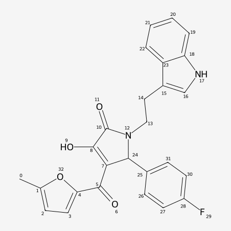 Cc1ccc(C(=O)C2=C(O)C(=O)N(CCc3c[nH]c4ccccc34)C2c2ccc(F)cc2)o1